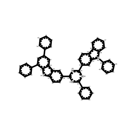 c1ccc(-c2cc(-c3ccccc3)c3sc4ccc(-c5nc(-c6ccccc6)nc(-c6ccc7c8ccccc8n(-c8ccccc8)c7c6)n5)cc4c3c2)cc1